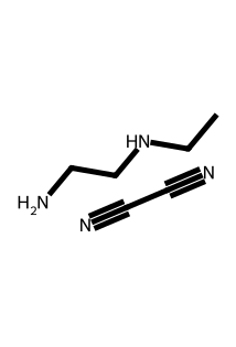 CCNCCN.N#CC#N